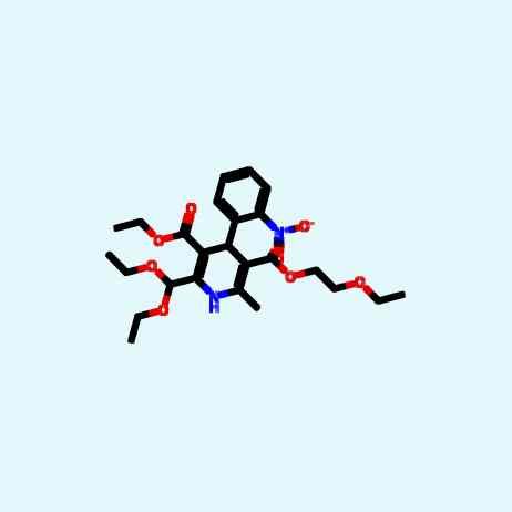 CCOCCOC(=O)C1=C(C)NC(C(OCC)OCC)=C(C(=O)OCC)C1c1ccccc1[N+](=O)[O-]